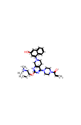 C=CC(=O)N1CCN(c2nc(O[C@H](CC)CN(C)C)nc3c2CCN(c2cc(O)cc4ccccc24)C3)CC1